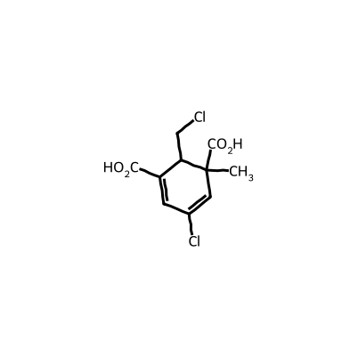 CC1(C(=O)O)C=C(Cl)C=C(C(=O)O)C1CCl